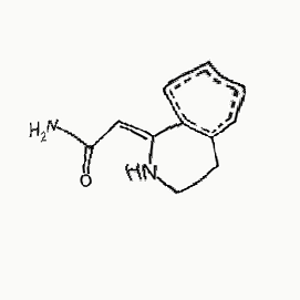 NC(=O)C=C1NCCc2ccccc21